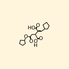 O=C(CC(C(=O)O)C(=CC1CCCC1)C(=O)O)OC1CCCC1